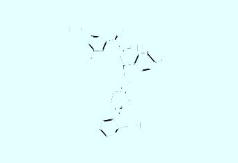 Cc1cc(C)cc(C(=O)N(C)CC(CCN2CCN(c3ccccc3C)CC2)c2ccc(Cl)c(Cl)c2)c1